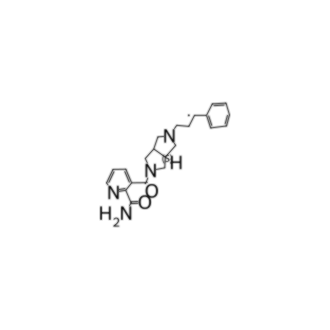 NC(=O)c1ncccc1C(=O)N1CC2CN(CC[CH]c3ccccc3)C[C@H]2C1